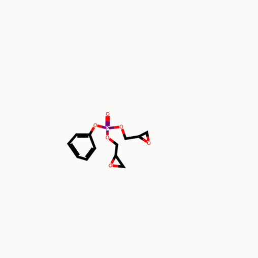 O=P(OCC1CO1)(OCC1CO1)Oc1ccccc1